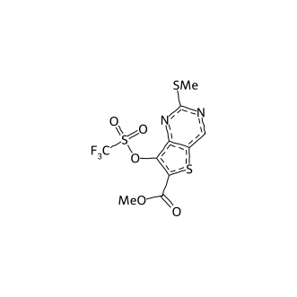 COC(=O)c1sc2cnc(SC)nc2c1OS(=O)(=O)C(F)(F)F